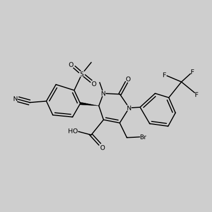 CN1C(=O)N(c2cccc(C(F)(F)F)c2)C(CBr)=C(C(=O)O)[C@H]1c1ccc(C#N)cc1S(C)(=O)=O